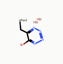 Br.Br.CCCCCCc1nnnnc1Br